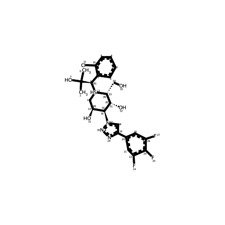 CC(C)(O)[C@@H](c1ccccc1Cl)[SH]1C[C@H](O)[C@H](n2cc(-c3cc(F)c(F)c(F)c3)nn2)[C@@H](O)[C@H]1CO